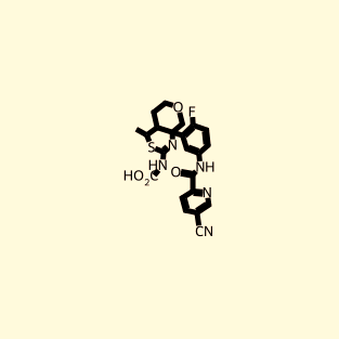 CC1SC(NC(=O)O)=NC2(c3cc(NC(=O)c4ccc(C#N)cn4)ccc3F)COCCC12